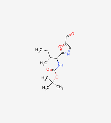 CC[C@@H](C)[C@H](NC(=O)OC(C)(C)C)c1ncc(C=O)o1